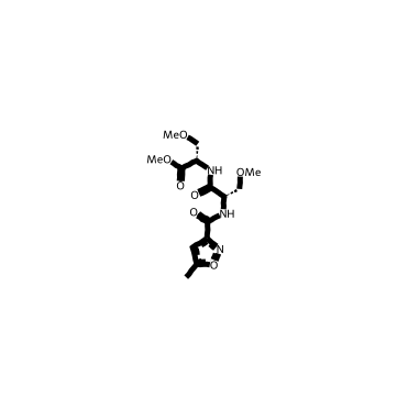 COC[C@H](NC(=O)c1cc(C)on1)C(=O)N[C@@H](COC)C(=O)OC